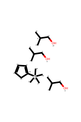 CC(C)CO.CC(C)CO.CC(C)CO.[CH3][Ti]([CH3])([CH3])([CH3])[C]1=CC=CC1